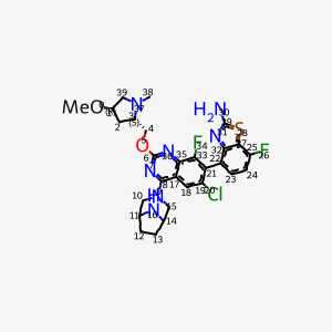 CO[C@@H]1C[C@@H](COc2nc(N3CC4CCC(C3)N4)c3cc(Cl)c(-c4ccc(F)c5sc(N)nc45)c(F)c3n2)N(C)C1